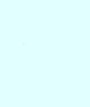 [CH]=CCCCCC/C=N\OC